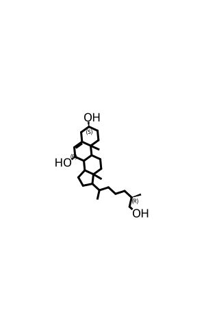 CC(CCC[C@@H](C)CO)C1CCC2C3C(CCC12C)C1(C)CC[C@H](O)CC1=C[C@@H]3O